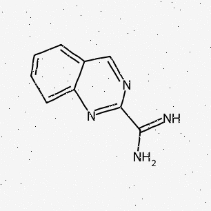 N=C(N)c1ncc2ccccc2n1